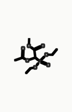 CCOP(=O)(OCC)C(OC(C)=O)C(=O)OC